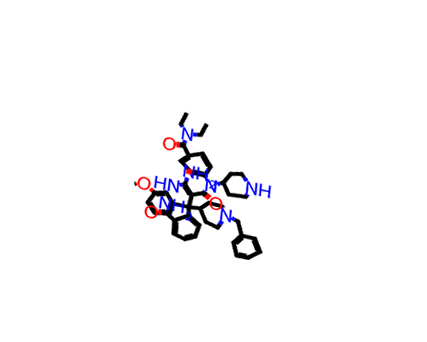 CCN(CC)C(=O)c1ccc(N(C(=O)C2=C(N)Nc3c(OC)cccc3C2(c2ccccc2C(N)=O)C2CCN(Cc3ccccc3)CC2)C2CCNCC2)cc1